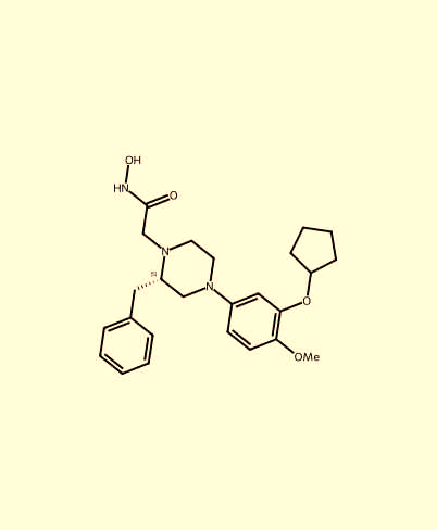 COc1ccc(N2CCN(CC(=O)NO)[C@@H](Cc3ccccc3)C2)cc1OC1CCCC1